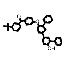 CC(C)(C)C1C=C(C(=O)c2ccc(Oc3ccc(-c4ccc(O)c(-c5ccccc5)c4)cc3-c3ccccc3)cc2)C=CC1